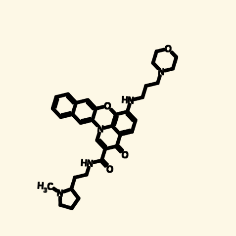 CN1CCCC1CCNC(=O)c1cn2c3c(c(NCCCN4CCOCC4)ccc3c1=O)Oc1cc3ccccc3cc1-2